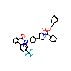 O=C(Nc1ccc(C2CCN(C(C(=O)OCCc3ccccc3)c3ccccc3)CC2)cc1)c1ccccc1-c1ccc(C(F)(F)F)cc1